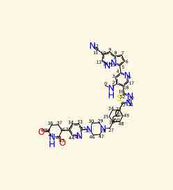 CNc1cc(-c2ccc3cc(C#N)cnn23)ncc1-c1nnc(C23CCC(CN4CCN(c5ccc(C6CCC(=O)NC6=O)cn5)CC4)(CC2)CC3)s1